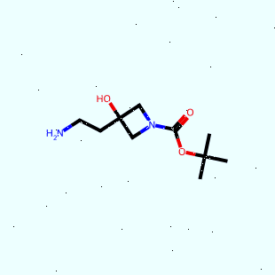 CC(C)(C)OC(=O)N1CC(O)(CCN)C1